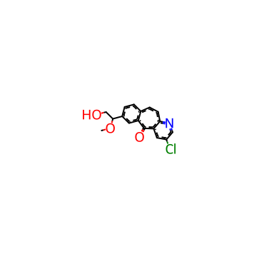 COC(CO)c1ccc2ccc3ncc(Cl)cc3c(=O)c2c1